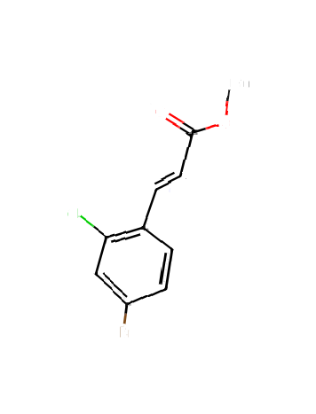 CC(C)(C)OC(=O)/C=C/c1ccc(Br)cc1Cl